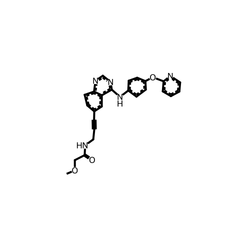 COCC(=O)NCC#Cc1ccc2ncnc(Nc3ccc(Oc4ccccn4)cc3)c2c1